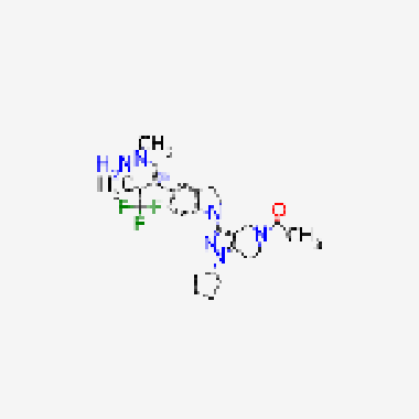 CC(=O)N1CCc2c(c(N3CCc4cc(/C(=C/N(C)N)C(C)C(F)(F)F)ccc43)nn2C2CCCC2)C1